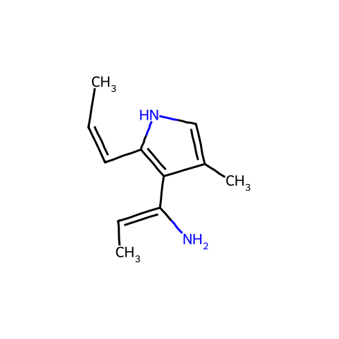 CC=C(N)c1c(C)c[nH]c1/C=C\C